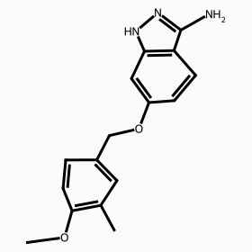 COc1ccc(COc2ccc3c(N)n[nH]c3c2)cc1C